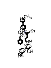 CCCC1/C(=[N+](/C(=O)NCc2ccccc2)c2ccc(-c3cnn(C)c3)cn2)C1CCCNc1ncc(C#N)c(N2CCn3cnnc3C2)n1